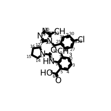 Cc1cccc(C(=O)O)c1NC(=O)N1CCC[C@@H]1c1nnc(C)n1Cc1ccc(Cl)cc1